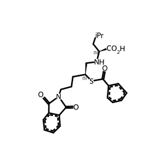 CC(C)C[C@H](NC[C@H](CCCN1C(=O)c2ccccc2C1=O)SC(=O)c1ccccc1)C(=O)O